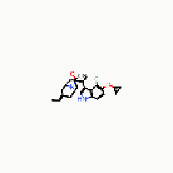 CC=C1CC2CC(C#N)CC(C1)N2C(=O)C(C)c1c[nH]c2ccc(OC3CC3)c(Cl)c12